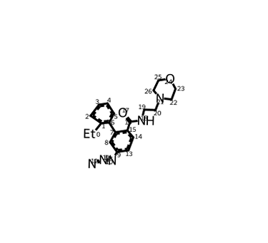 CCc1ccccc1-c1cc(N=[N+]=[N-])ccc1C(=O)NCCN1CCOCC1